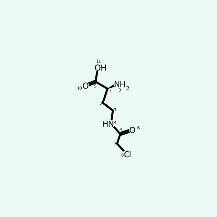 N[C@@H](CCNC(=O)CCl)C(=O)O